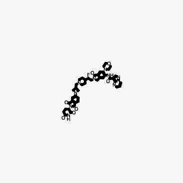 O=C1CCC(N2C(=O)c3ccc(N4CC(CN5CCC([C@H](F)CN6Cc7cc(NC(=O)c8cnn9cccnc89)c(N8CCOCC8)cc7C6=O)CC5)C4)cc3C2=O)C(=O)N1